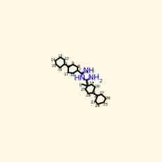 CC1(C(N)NC(=N)C2CCC(C3CCCCC3)CC2)CCC(C2CCCCC2)CC1